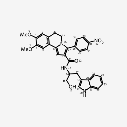 COc1cc2c(cc1OC)-c1cc(C(=O)NC(CO)Cc3c[nH]c4ccccc34)c(-c3ccc([N+](=O)[O-])cc3)n1CC2